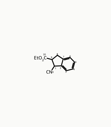 [C-]#[N+]C1c2ccccc2CC1C(=O)OCC